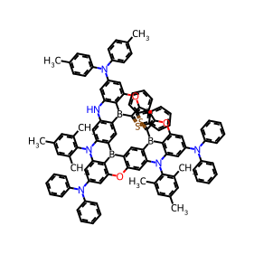 Cc1ccc(N(c2ccc(C)cc2)c2cc3c4c(c2)Oc2c(sc5ccccc25)B4c2cc4c(cc2N3)N(c2c(C)cc(C)cc2C)c2cc(N(c3ccccc3)c3ccccc3)cc3c2B4c2cc4c(cc2O3)N(c2c(C)cc(C)cc2C)c2cc(N(c3ccccc3)c3ccccc3)cc3c2B4c2sc4ccccc4c2O3)cc1